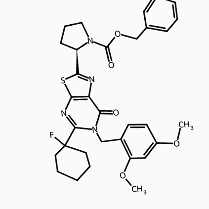 COc1ccc(Cn2c(C3(F)CCCCC3)nc3sc([C@H]4CCCN4C(=O)OCc4ccccc4)nc3c2=O)c(OC)c1